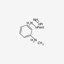 Nc1cc[c]cc1.[CH2]CCCCN.[CH2]CCN.[CH3]